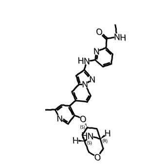 CNC(=O)c1cccc(Nc2cc3cc(-c4cc(C)ncc4O[C@H]4C[C@H]5COC[C@@H](C4)N5)ccn3n2)n1